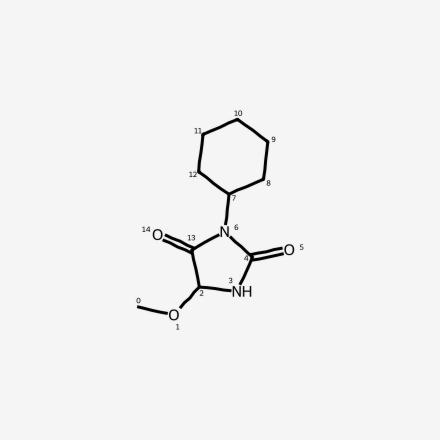 COC1NC(=O)N(C2CCCCC2)C1=O